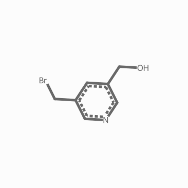 OCc1cncc(CBr)c1